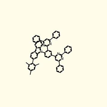 Cc1cc(C)c(-c2ccc3c4ccccc4n(-c4ccc(-c5cc(-c6ccccc6)nc(-c6ccccc6)n5)cc4-c4nc(-c5ccccc5)cc(-c5ccccc5)n4)c3c2)c(C)c1